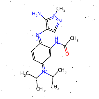 CC(=O)NC1=CC(=[N+](C(C)C)C(C)C)C=C/C1=N/c1cnn(C)c1N